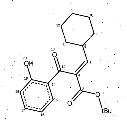 CC(C)(C)OC(=O)C(=CC1CCCCC1)C(=O)c1ccccc1O